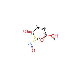 O=NSC(=O)/C=C\C(=O)O